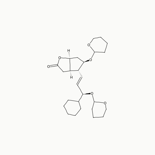 O=C1C[C@@H]2[C@@H](C=C[C@@H](OC3CCCCO3)C3CCCCC3)[C@H](OC3CCCCO3)C[C@@H]2O1